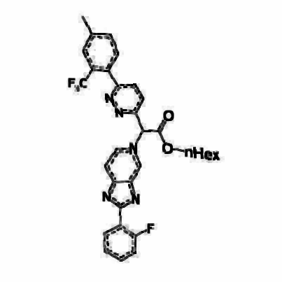 CCCCCCOC(=O)C(c1ccc(-c2ccc(C)cc2C(F)(F)F)nn1)n1ccc2nc(-c3ccccc3F)nc-2c1